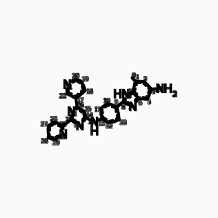 Cc1cc(N)cc2nc(-c3ccc(Nc4cc(-c5cccnc5)nc(-c5ccccn5)n4)cc3)[nH]c12